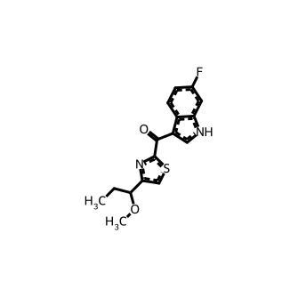 CCC(OC)c1csc(C(=O)c2c[nH]c3cc(F)ccc23)n1